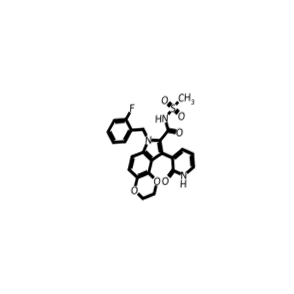 CS(=O)(=O)NC(=O)c1c(-c2ccc[nH]c2=O)c2c3c(ccc2n1Cc1ccccc1F)OCCO3